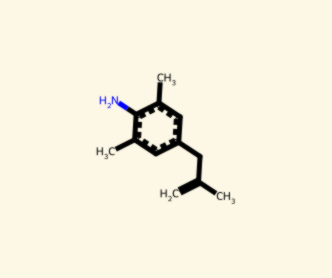 C=C(C)Cc1cc(C)c(N)c(C)c1